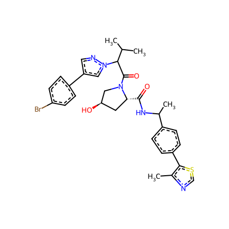 Cc1ncsc1-c1ccc(C(C)NC(=O)[C@@H]2C[C@@H](O)CN2C(=O)C(C(C)C)n2cc(-c3ccc(Br)cc3)cn2)cc1